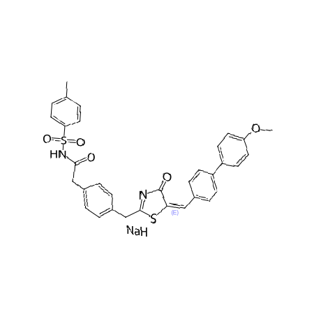 COc1ccc(-c2ccc(/C=C3/SC(Cc4ccc(CC(=O)NS(=O)(=O)c5ccc(C)cc5)cc4)=NC3=O)cc2)cc1.[NaH]